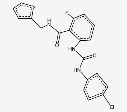 O=C(Nc1ccc(Cl)cc1)Nc1cccc(F)c1C(=O)NCc1cccs1